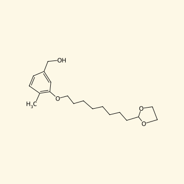 Cc1ccc(CO)cc1OCCCCCCCCC1OCCO1